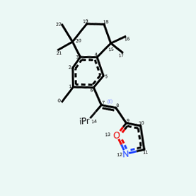 Cc1cc2c(cc1/C(=C/c1ccno1)C(C)C)C(C)(C)CCC2(C)C